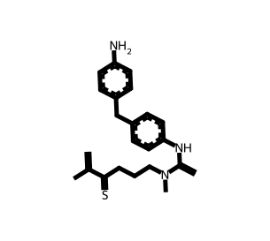 C=C(C)C(=S)CCCN(C)C(=C)Nc1ccc(Cc2ccc(N)cc2)cc1